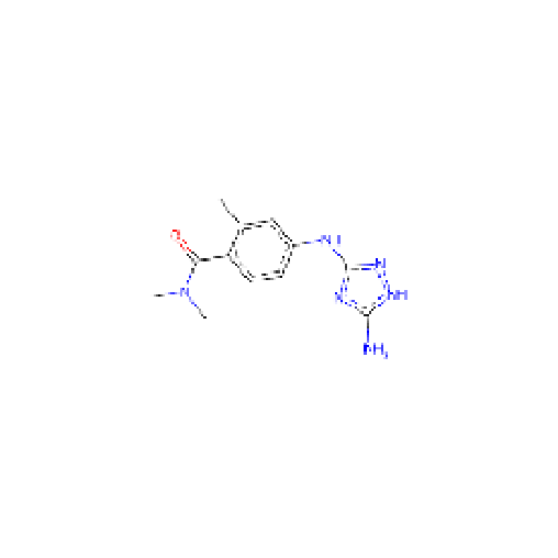 Cc1cc(Nc2n[nH]c(N)n2)ccc1C(=O)N(C)C